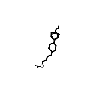 CCOCCCCC1CCC(c2ccc(Cl)cc2)CC1